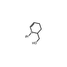 CC(C)N1C=CCCC1CO